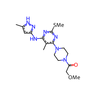 COCC(=O)N1CCN(c2nc(SC)nc(Nc3cc(C)[nH]n3)c2C)CC1